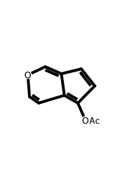 CC(=O)Oc1ccc2coccc1-2